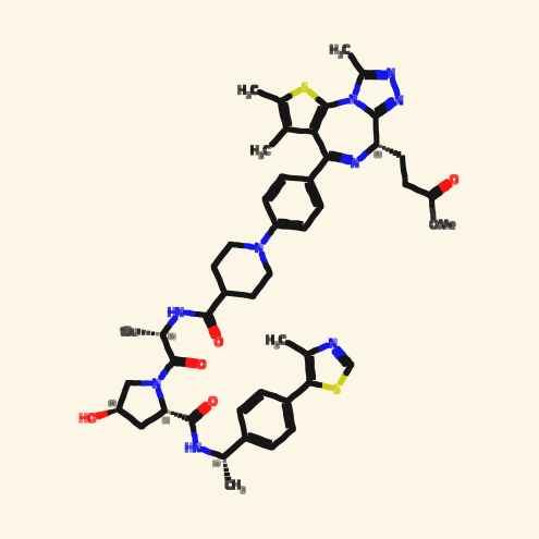 COC(=O)CC[C@@H]1N=C(c2ccc(N3CCC(C(=O)N[C@H](C(=O)N4C[C@H](O)C[C@H]4C(=O)N[C@@H](C)c4ccc(-c5scnc5C)cc4)C(C)(C)C)CC3)cc2)c2c(sc(C)c2C)-n2c(C)nnc21